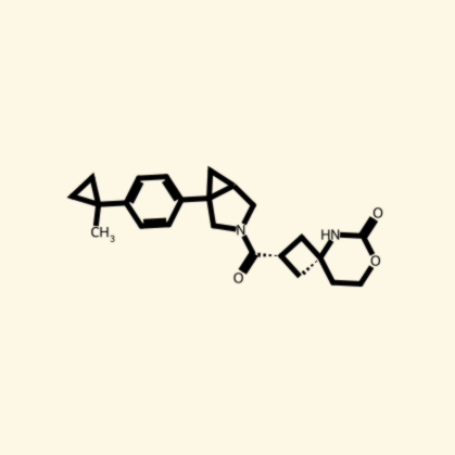 CC1(c2ccc(C34CC3CN(C(=O)[C@H]3C[C@]5(CCOC(=O)N5)C3)C4)cc2)CC1